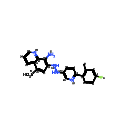 Cc1cc(F)ccc1-c1ccc(NNc2cc(S(=O)(=O)O)c3c(c2N)=NC=C=C=3)cn1